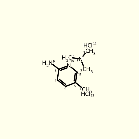 CN(C)C.Cc1ccc(N)nc1.Cl.Cl